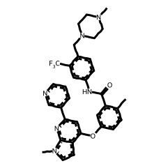 Cc1ccc(Oc2cc(-c3cccnc3)nc3c2ccn3C)cc1C(=O)Nc1ccc(CN2CCN(C)CC2)c(C(F)(F)F)c1